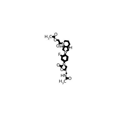 CC(=O)NC[C@H]1CN(c2ccc(N3C[C@@H]4CCCN(C(=O)COC(C)=O)[C@@H]4C3)c(F)c2)C(=O)O1